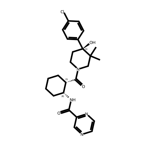 CC1(C)CN(C(=O)[C@H]2CCCC[C@H]2NC(=O)c2cnccn2)CC[C@]1(O)c1ccc(Cl)cc1